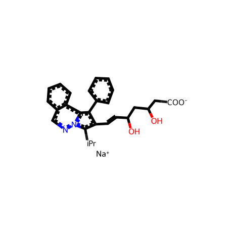 CC(C)c1c(/C=C/C(O)CC(O)CC(=O)[O-])c(-c2ccccc2)c2c3ccccc3cnn12.[Na+]